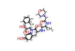 C[C@H](NC(=O)CN1CCOCC1)C(=O)N[C@@H](Cc1ccc(O)cc1)C(=O)N[C@@H](Cc1ccccc1)B(O)O